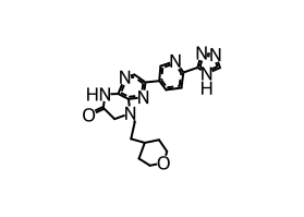 O=C1CN(CCC2CCOCC2)c2nc(-c3ccc(-c4nnc[nH]4)nc3)cnc2N1